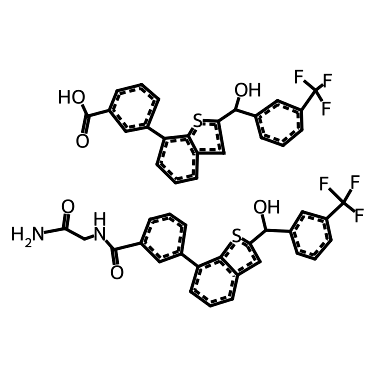 NC(=O)CNC(=O)c1cccc(-c2cccc3cc(C(O)c4cccc(C(F)(F)F)c4)sc23)c1.O=C(O)c1cccc(-c2cccc3cc(C(O)c4cccc(C(F)(F)F)c4)sc23)c1